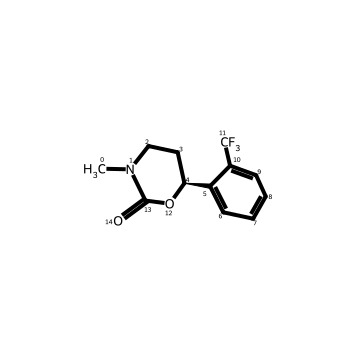 CN1CC[C@@H](c2ccccc2C(F)(F)F)OC1=O